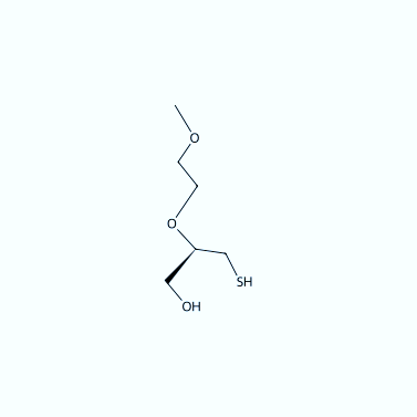 COCCO[C@H](CO)CS